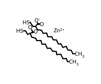 CCCCCCCCCCCCCCCCC(CCS)C(=O)[O-].CCCCCCCCCCCCCCCCC(CCS)C(=O)[O-].[Zn+2]